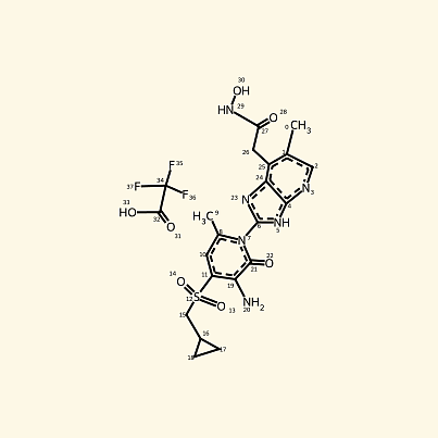 Cc1cnc2[nH]c(-n3c(C)cc(S(=O)(=O)CC4CC4)c(N)c3=O)nc2c1CC(=O)NO.O=C(O)C(F)(F)F